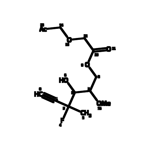 C#CC(C)(F)C(O)C(COC(=O)COCC(C)=O)OC